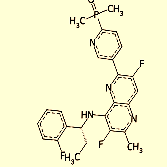 CC[C@@H](Nc1c(F)c(C)nc2cc(F)c(-c3ccc(P(C)(C)=O)nc3)nc12)c1ccccc1F